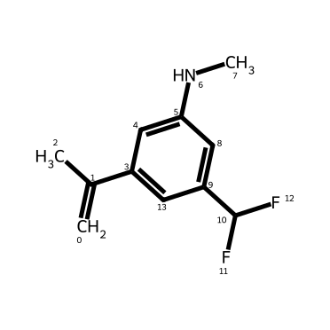 C=C(C)c1cc(NC)cc(C(F)F)c1